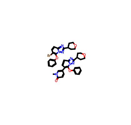 Brc1ccc2nc(C3CCOCC3)nn2c1Oc1ccccc1.Cn1cc(-c2ccc3nc(C4CCOCC4)nn3c2Oc2ccccc2)ccc1=O